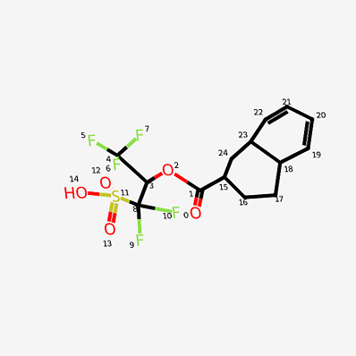 O=C(OC(C(F)(F)F)C(F)(F)S(=O)(=O)O)C1CCC2C=CC=CC2C1